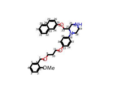 COc1ccccc1COCCCOc1ccc(N2CCNCC2COc2ccc3ccccc3c2)cc1